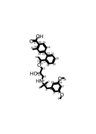 COc1cc(CC(C)(C)NC[C@H](O)COC(C)c2ccccc2-c2ccc(C(=O)O)c(C)c2)cc(OC)c1